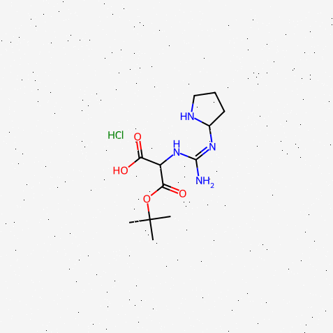 CC(C)(C)OC(=O)C(NC(N)=NC1CCCN1)C(=O)O.Cl